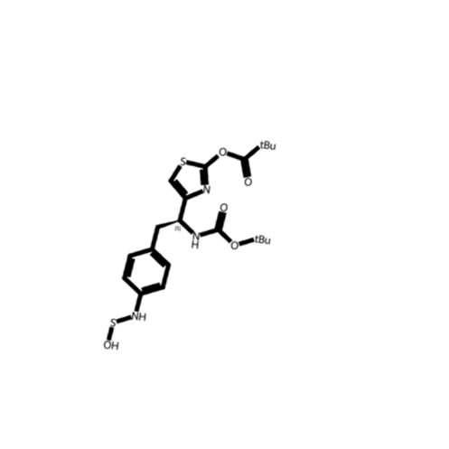 CC(C)(C)OC(=O)N[C@@H](Cc1ccc(NSO)cc1)c1csc(OC(=O)C(C)(C)C)n1